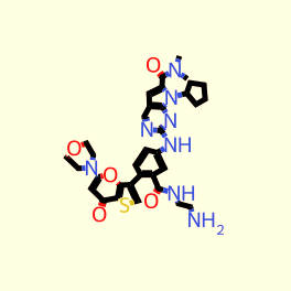 CN(C)C(=O)c1cc2cnc(Nc3ccc(-c4csc5c(=O)cc(N6CCOCC6)oc45)c(C(=O)NCCN)c3)nc2n1C1CCCC1